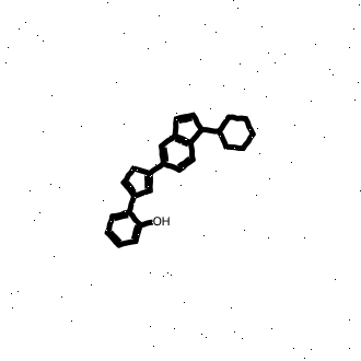 Oc1ccccc1C1=CCC(c2ccc3c(c2)C=CC3C2CCCCC2)=C1